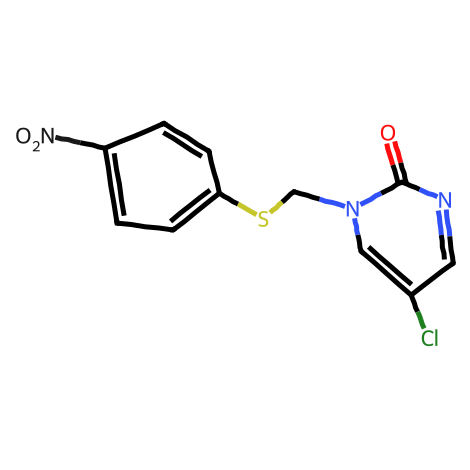 O=c1ncc(Cl)cn1CSc1ccc([N+](=O)[O-])cc1